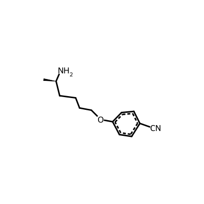 C[C@@H](N)CCCCOc1ccc(C#N)cc1